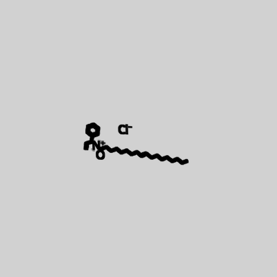 C=CC(c1ccccc1)[N+](C)(C)C(=O)CCCCCCCC=CCCCCCCCC.[Cl-]